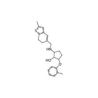 Cc1cc2c(s1)CCC(CNC1CCC(Oc3ccccc3C)C1O)=C2